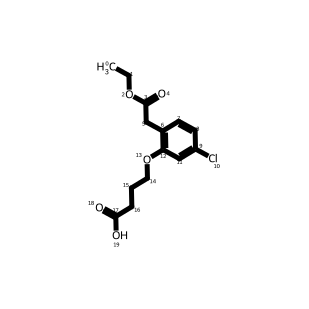 CCOC(=O)Cc1ccc(Cl)cc1OCCCC(=O)O